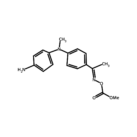 COC(=O)O/N=C(\C)c1ccc(N(C)c2ccc(N)cc2)cc1